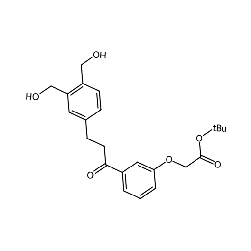 CC(C)(C)OC(=O)COc1cccc(C(=O)CCc2ccc(CO)c(CO)c2)c1